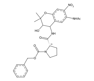 CC(=O)Nc1cc2c(cc1[N+](=O)[O-])OC(C)(C)C(O)C2NC(=O)[C@@H]1CCCN1C(=O)OCc1ccccc1